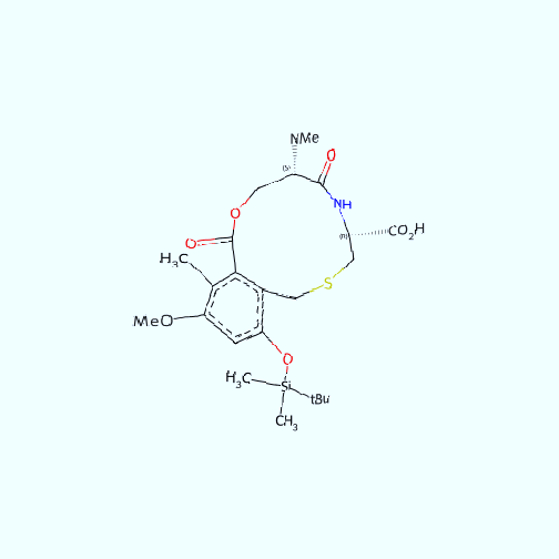 CN[C@H]1COC(=O)c2c(C)c(OC)cc(O[Si](C)(C)C(C)(C)C)c2CSC[C@@H](C(=O)O)NC1=O